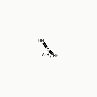 N=C=N.[AsH3]